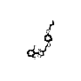 CCCCOc1ccc(OCCC2COC(c3c(F)cccc3F)=N2)cc1